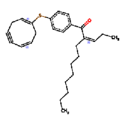 CC/C=C(/CCCCCCCC)C(=O)c1ccc(S/C2=C/CC#C/C=C\C2)cc1